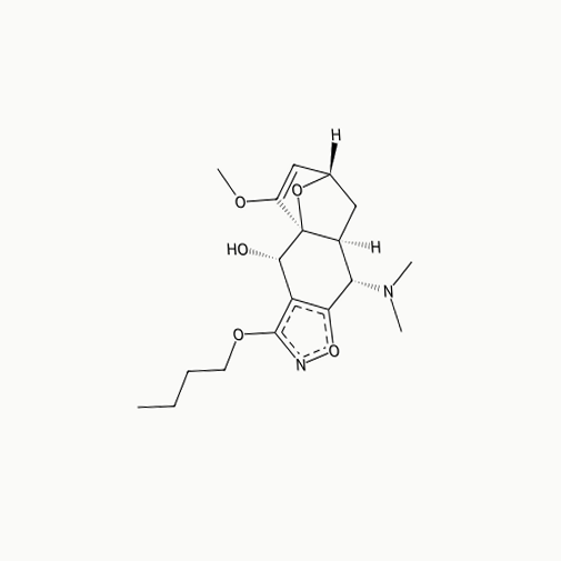 CCCCOc1noc2c1[C@H](O)[C@]13O[C@H](C=C1OC)C[C@H]3[C@@H]2N(C)C